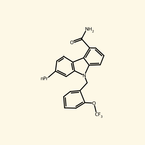 CCCc1c[c]c2c3c(C(N)=O)cccc3n(Cc3ccccc3OC(F)(F)F)c2c1